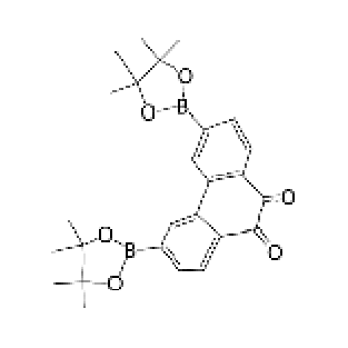 CC1(C)OB(c2ccc3c(c2)-c2cc(B4OC(C)(C)C(C)(C)O4)ccc2C(=O)C3=O)OC1(C)C